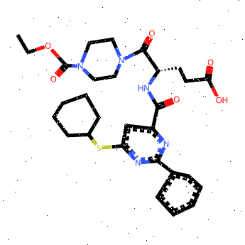 CCOC(=O)N1CCN(C(=O)[C@H](CCC(=O)O)NC(=O)c2cc(SC3CCCCC3)nc(-c3ccccc3)n2)CC1